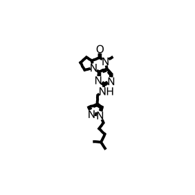 CC(C)CCCn1cc(CNc2ncc3c(n2)N2CCCC2C(=O)N3C)cn1